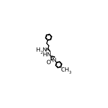 Cc1ccc(N2C[C@@H](NC[C@@H](N)CCc3ccccc3)C2=O)cc1